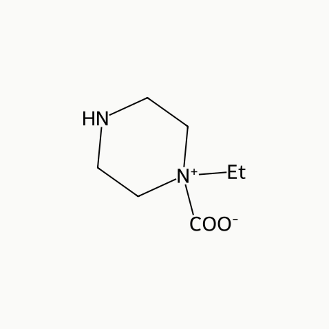 CC[N+]1(C(=O)[O-])CCNCC1